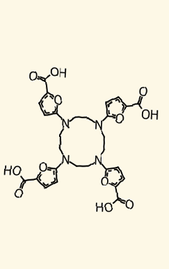 O=C(O)c1ccc(N2CCN(c3ccc(C(=O)O)o3)CCN(c3ccc(C(=O)O)o3)CCN(c3ccc(C(=O)O)o3)CC2)o1